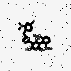 CCCCc1nc(O)c(-c2nnc(Cc3ccc(F)cc3N(C)C)o2)c(O)c1-c1c(OC)cccc1OC